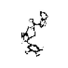 Cn1nc2c(c1-c1cc(F)c(F)c(F)c1)CCN(C(=O)c1cnc3ccccn13)C2